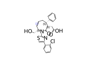 O=C(O)C[C@@H]1C(=O)N(c2nc(-c3ccccc3Cl)cs2)[C@H](CO)/C=C\C[C@@H]1c1ccccc1